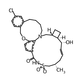 C[C@H]1C/C=C/[C@@H](O)[C@@H]2CC[C@H]2CN2CCCCc3cc(Cl)ccc3COc3ccc(cc32)C(=O)NS(=O)(=O)C1